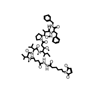 CCC(C)C(C(CC(=O)N1CCC[C@H]1C(OC)C(C)C(=O)NC(Cc1ccccc1)C(=O)NCc1ccccc1)OC)N(C)C(=O)C(NC(=O)C(C(C)C)N(C)CCCC(=O)NNC(=O)CCCCCN1C(=O)C=CC1=O)C(C)C